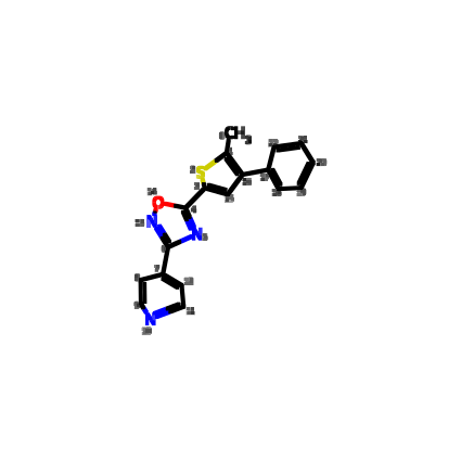 Cc1sc(-c2nc(-c3ccncc3)no2)cc1-c1ccccc1